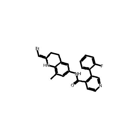 CC/C=C1\CCc2cc(NC(=O)c3ccncc3-c3ccccc3F)cc(C)c2N1